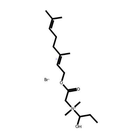 CCC(O)[N+](C)(C)CC(=O)OC/C=C(\C)CCC=C(C)C.[Br-]